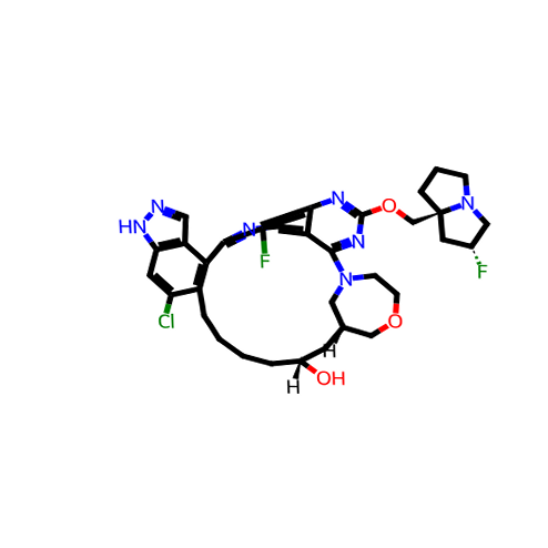 O[C@@H]1CCCCc2c(Cl)cc3[nH]ncc3c2-c2ncc3c(nc(OC[C@@]45CCCN4C[C@H](F)C5)nc3c2F)N2CCOC[C@H](C1)C2